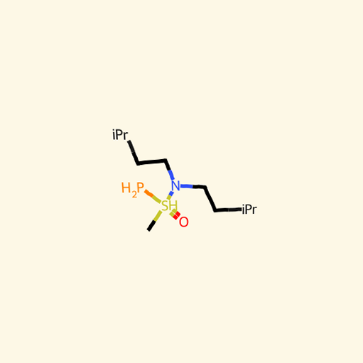 CC(C)CCN(CCC(C)C)[SH](C)(=O)P